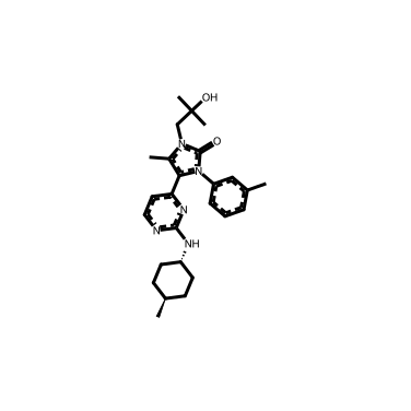 Cc1cccc(-n2c(-c3ccnc(N[C@H]4CC[C@H](C)CC4)n3)c(C)n(CC(C)(C)O)c2=O)c1